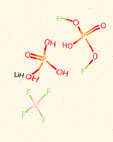 F[B-](F)(F)F.O=P(O)(O)O.O=P(O)(OF)OF.[LiH]